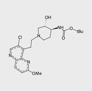 COc1ccc2ncc(Cl)c(CCN3CC[C@H](NC(=O)OC(C)(C)C)[C@@H](O)C3)c2n1